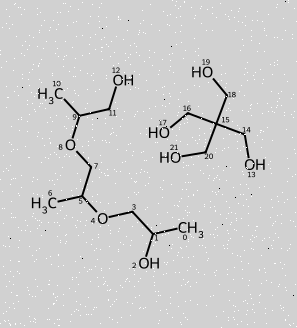 CC(O)COC(C)COC(C)CO.OCC(CO)(CO)CO